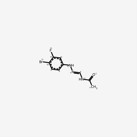 CC(=O)N/C=N/Nc1ccc(Br)c(F)c1